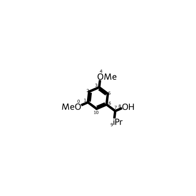 COc1cc(OC)cc(C(O)C(C)C)c1